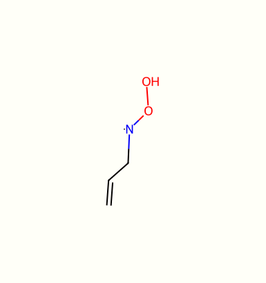 C=CC[N]OO